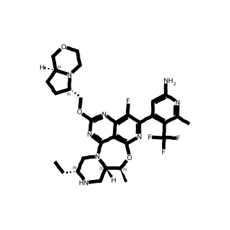 CC[C@@H]1CN2c3nc(OC[C@@H]4CC[C@H]5COCCN54)nc4c(F)c(-c5cc(N)nc(C)c5C(F)(F)F)nc(c34)O[C@@H](C)[C@@H]2CN1